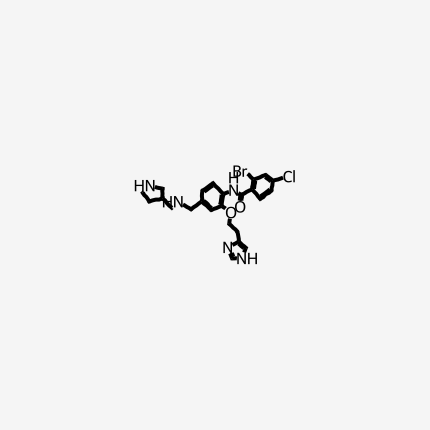 O=C(Nc1ccc(CNCC2CCNC2)cc1OCCc1c[nH]cn1)c1ccc(Cl)cc1Br